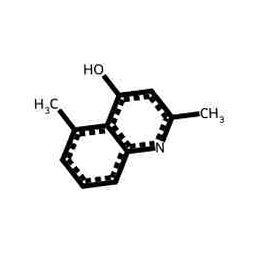 Cc1cc(O)c2c(C)cccc2n1